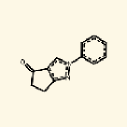 O=C1CCc2nn(-c3ccccc3)cc21